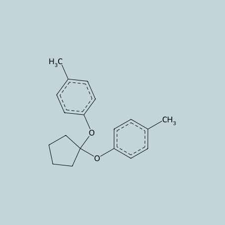 Cc1ccc(OC2(Oc3ccc(C)cc3)CCCC2)cc1